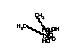 CCCCCCCCCCOC1=C(O)C(=O)O[C@]1(CCCCCCCCCC)[C@@H](O)CO